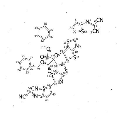 N#CC(C#N)=Nc1ccc(-c2nc3sc4c(c3s2)OC(C(=O)OCc2ccccc2)(C(=O)OCc2ccccc2)c2c-4sc3nc(-c4ccc(N=C(C#N)C#N)s4)sc23)s1